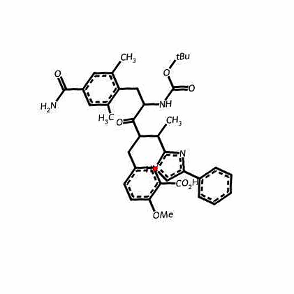 COc1ccc(CC(C(=O)C(Cc2c(C)cc(C(N)=O)cc2C)NC(=O)OC(C)(C)C)C(C)c2nc(-c3ccccc3)c[nH]2)cc1C(=O)O